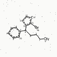 OCCCC(c1ccccc1)c1ccsc1Br